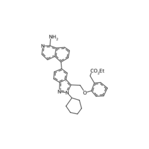 CCOC(=O)Cc1ccccc1OCc1c2cc(-c3cccc4c(N)nccc34)ccc2nn1C1CCCCC1